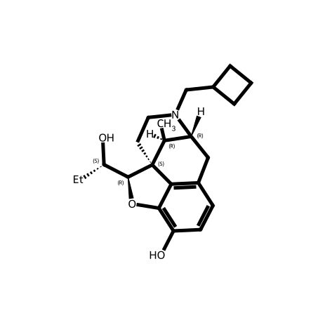 CC[C@H](O)[C@@H]1Oc2c(O)ccc3c2[C@@]12CCN(CC1CCC1)[C@H](C3)[C@@H]2C